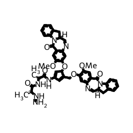 COc1cc2c(cc1OCC1=CC(NC(=O)[C@H](C)NC(=O)[C@@H](C)NN)=CC1Oc1cc3c(cc1OC)C(=O)N1c4ccccc4C[C@H]1C=N3)N=C[C@@H]1Cc3ccccc3N1C2=O